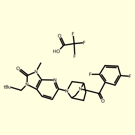 Cn1c(=O)n(CC(C)(C)C)c2ccc(N3CC4CCC3CN4C(=O)c3cc(F)ccc3F)nc21.O=C(O)C(F)(F)F